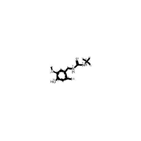 COc1cc(CNC(=S)NC(C)(C)C)c(I)cc1O